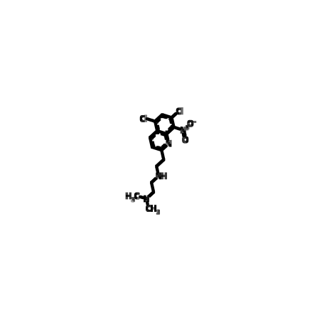 CN(C)CCNCCc1ccc2c(Cl)cc(Cl)c([N+](=O)[O-])c2n1